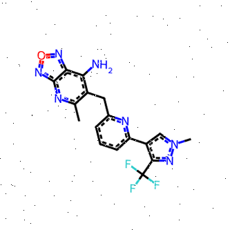 Cc1nc2nonc2c(N)c1Cc1cccc(-c2cn(C)nc2C(F)(F)F)n1